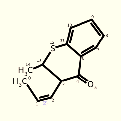 C/C=C\C1C(=O)c2ccccc2SC1C